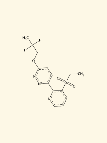 CCS(=O)(=O)c1cccnc1-c1ccc(OCC(C)(F)F)nn1